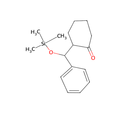 C[Si](C)(C)OC(c1ccccc1)C1CCCCC1=O